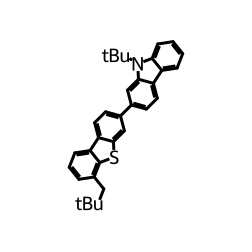 CC(C)(C)Cc1cccc2c1sc1cc(-c3ccc4c5ccccc5n(C(C)(C)C)c4c3)ccc12